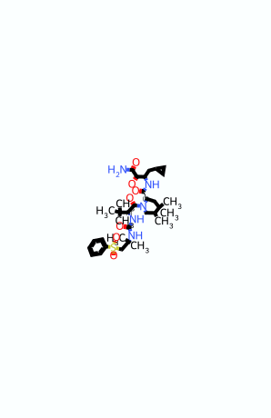 CC1CN(C(=O)[C@@H](NC(=O)NC(C)(C)CS(=O)(=O)c2ccccc2)C(C)(C)C)[C@H](C(=O)NC(CC2CC2)C(=O)C(N)=O)CC1(C)C